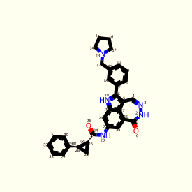 O=C1NN=Cc2c(-c3cccc(CN4CCCC4)c3)[nH]c3cc(NC(=O)[C@@H]4C[C@H]4c4ccccc4)cc1c23